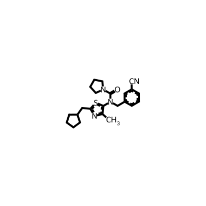 Cc1nc(CC2CCCC2)sc1N(Cc1cccc(C#N)c1)C(=O)N1CCCC1